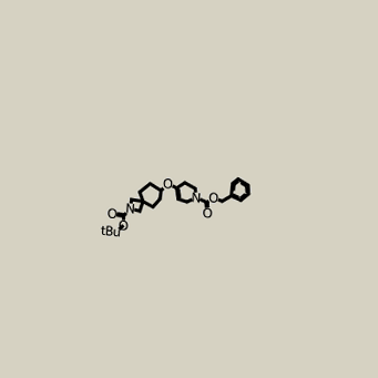 CC(C)(C)OC(=O)N1CC2(CCC(OC3=CCN(C(=O)OCc4ccccc4)CC3)CC2)C1